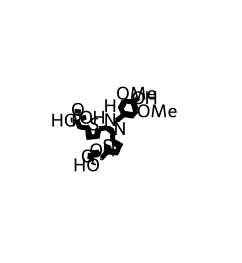 COc1cc(-c2nc(-c3ccc(CP(=O)(O)O)s3)c(-c3ccc(CP(=O)(O)O)s3)[nH]2)cc(OC)c1O